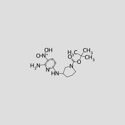 CC(C)(C)OC(=O)N1CCCC(Nc2ccc([N+](=O)O)c(N)n2)C1